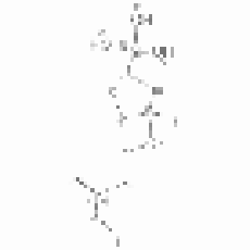 CC[C@@H](C)CCOC(C)(CC)CC[Si](O)(O)O